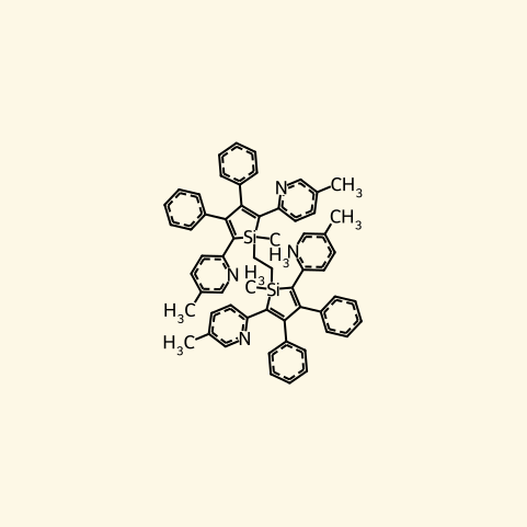 Cc1ccc(C2=C(c3ccccc3)C(c3ccccc3)=C(c3ccc(C)cn3)[Si]2(C)CC[Si]2(C)C(c3ccc(C)cn3)=C(c3ccccc3)C(c3ccccc3)=C2c2ccc(C)cn2)nc1